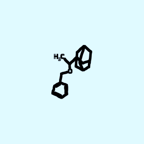 CC(OCc1ccccc1)C12CC3CC(CC(C3)C1)C2